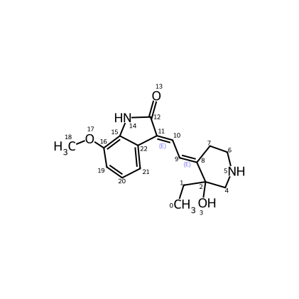 CCC1(O)CNCC/C1=C\C=C1\C(=O)Nc2c(OC)cccc21